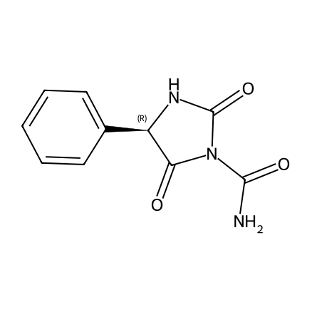 NC(=O)N1C(=O)N[C@H](c2ccccc2)C1=O